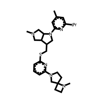 Cc1cc(C(C)C)nc(N2CC(CSc3cccc(N4CCC5(CCN5C)C4)n3)C3CN(C)CC32)c1